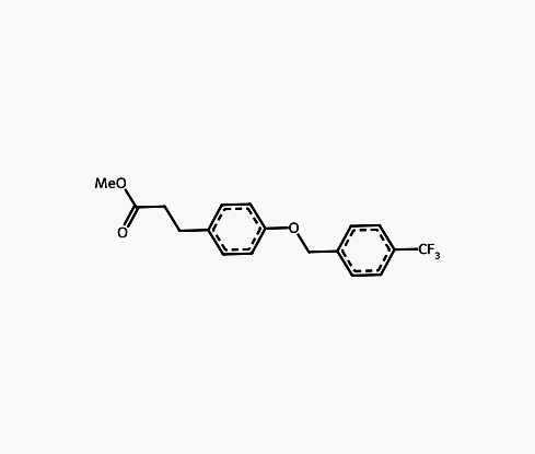 COC(=O)CCc1ccc(OCc2ccc(C(F)(F)F)cc2)cc1